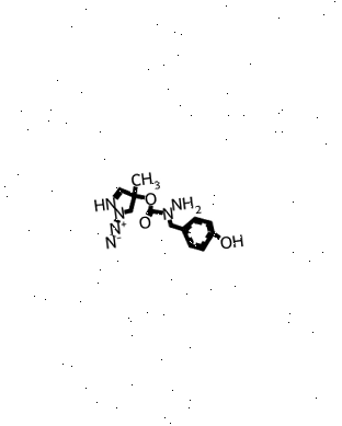 CC(C=N)(CN=[N+]=[N-])OC(=O)N(N)Cc1ccc(O)cc1